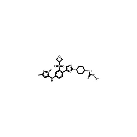 Cc1cc(Nc2ccc(-c3cnc([C@H]4CC[C@H](NC(=O)OC(C)C)CC4)s3)c(S(=O)(=O)C3COC3)c2)n(C)n1